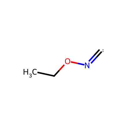 [C]=NOCC